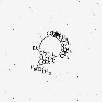 CC[C@@H]1/C=C/C=C/C[C@H](C)[C@@H](O)[C@](C)(O)C(=O)[C@H](C)[C@@H](O)[C@H](C)C(=O)[C@H](C)[C@@H](O)[C@H](C)/C=C/C(=O)OC2[C@@H](C)C(CC1)O[C@]1(CC[C@@H](C)[C@@H](C[C@H](C)O)O1)[C@@H]2CC